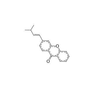 CC(C)/C=C/c1ccc2c(=O)c3ccccc3oc2c1